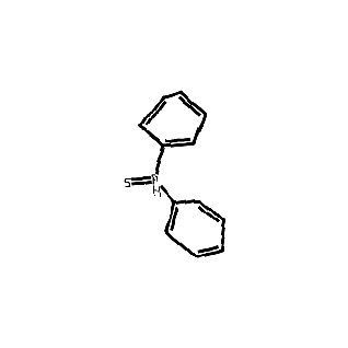 S=[PH](c1ccccc1)c1ccccc1